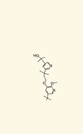 COc1ncc(C(C)(C)C)cc1OCCC(C)(C)c1cncc(C(C)(C)O)c1